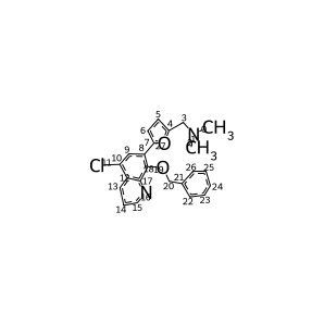 CN(C)Cc1ccc(-c2cc(Cl)c3cccnc3c2OCc2ccccc2)o1